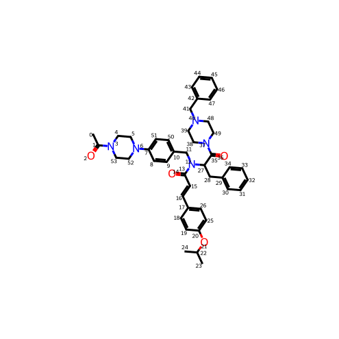 CC(=O)N1CCN(c2ccc(CN(C(=O)C=Cc3ccc(OC(C)C)cc3)C(Cc3ccccc3)C(=O)N3CCN(Cc4ccccc4)CC3)cc2)CC1